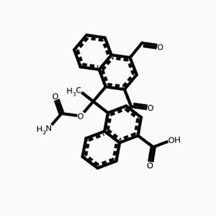 CC(OC(N)=O)(c1ccc(C(=O)O)c2ccccc12)c1c(C=O)cc(C=O)c2ccccc12